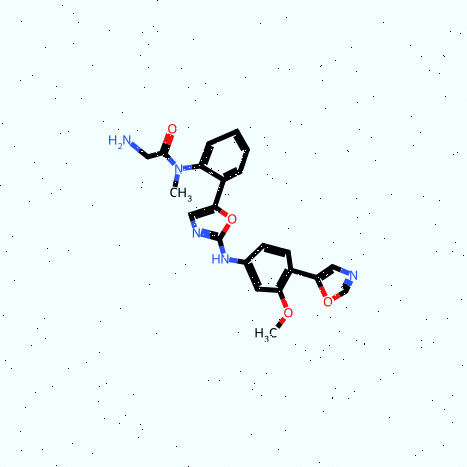 COc1cc(Nc2ncc(-c3ccccc3N(C)C(=O)CN)o2)ccc1-c1cnco1